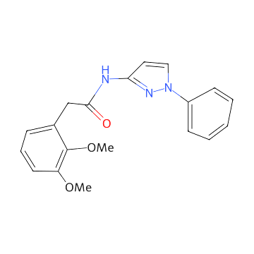 COc1cccc(CC(=O)Nc2ccn(-c3ccccc3)n2)c1OC